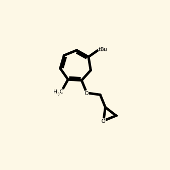 CC1=C(OCC2CO2)CC(C(C)(C)C)=CC=C1